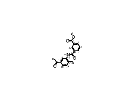 COC(=O)c1cccc(C(=O)Nc2cc(C(C)=O)ccc2C)c1